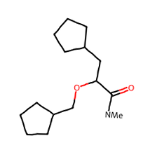 CNC(=O)C(CC1CCCC1)OCC1CCCC1